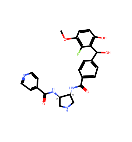 COc1ccc(O)c(C(O)c2ccc(C(=O)N[C@@H]3CNC[C@H]3NC(=O)c3ccncc3)cc2)c1F